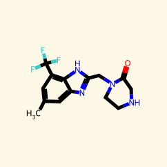 Cc1cc(C(F)(F)F)c2[nH]c(CN3CCNCC3=O)nc2c1